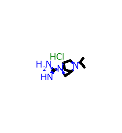 CC(C)N1CC2CC1CN2C(=N)N.Cl